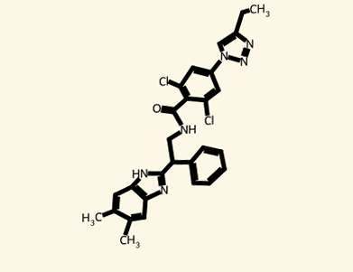 CCc1cn(-c2cc(Cl)c(C(=O)NCC(c3ccccc3)c3nc4cc(C)c(C)cc4[nH]3)c(Cl)c2)nn1